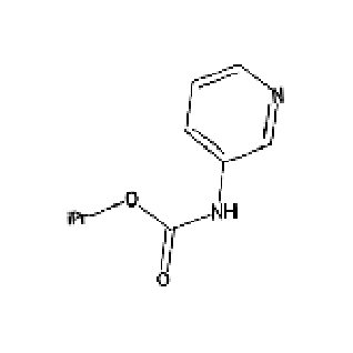 CC(C)OC(=O)Nc1cccnc1